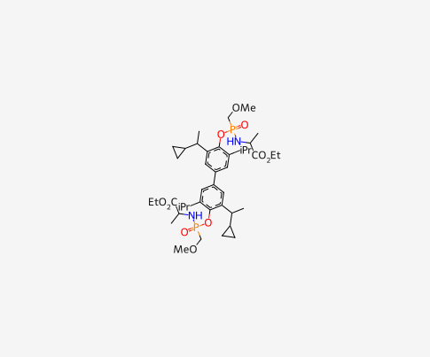 CCOC(=O)C(C)NP(=O)(COC)Oc1c(C(C)C)cc(-c2cc(C(C)C)c(OP(=O)(COC)NC(C)C(=O)OCC)c(C(C)C3CC3)c2)cc1C(C)C1CC1